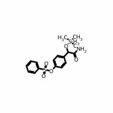 C[Si](C)(C)OC(C(N)=O)c1ccc(OS(=O)(=O)c2ccccc2)cc1